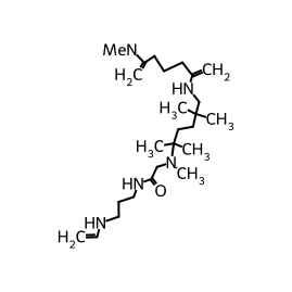 C=CNCCCNC(=O)CN(C)C(C)(C)CCC(C)(C)CNC(=C)CCCC(=C)NC